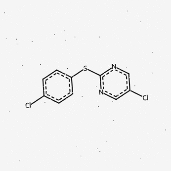 Clc1ccc(Sc2ncc(Cl)cn2)cc1